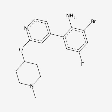 CN1CCC(Oc2cc(-c3cc(F)cc(Br)c3N)ccn2)CC1